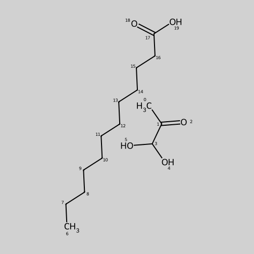 CC(=O)C(O)O.CCCCCCCCCCCC(=O)O